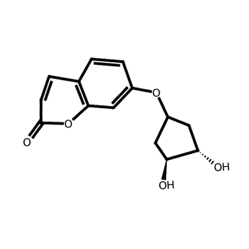 O=c1ccc2ccc(OC3C[C@H](O)[C@@H](O)C3)cc2o1